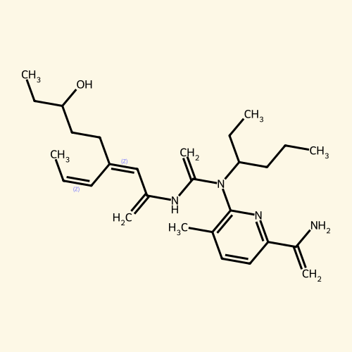 C=C(/C=C(\C=C/C)CCC(O)CC)NC(=C)N(c1nc(C(=C)N)ccc1C)C(CC)CCC